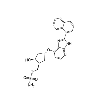 NS(=O)(=O)OC[C@@H]1C[C@@H](Oc2ccnc3[nH]c(-c4cccc5ccccc45)nc23)C[C@@H]1O